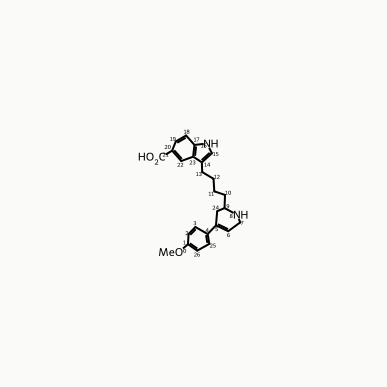 COc1ccc(C2=CCNC(CCCCc3c[nH]c4ccc(C(=O)O)cc34)C2)cc1